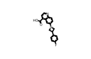 O=C(O)c1ccnc2ccc(N3CC(c4ccc(F)cc4)C3)cc12